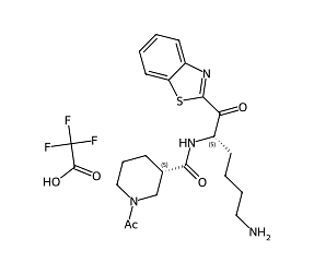 CC(=O)N1CCC[C@H](C(=O)N[C@@H](CCCCN)C(=O)c2nc3ccccc3s2)C1.O=C(O)C(F)(F)F